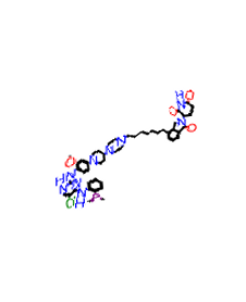 COc1cc(N2CCC(N3CCN(CCCCCCCc4cccc5c4CN(C4CCC(=O)NC4=O)C5=O)CC3)CC2)ccc1Nc1ncc(Cl)c(Nc2ccccc2P(C)C)n1